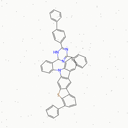 c1ccc(C2=NC(c3ccccc3-n3c4ccccc4c4cc5c(cc43)sc3c(-c4ccccc4)cccc35)NC(c3ccc(-c4ccccc4)cc3)=N2)cc1